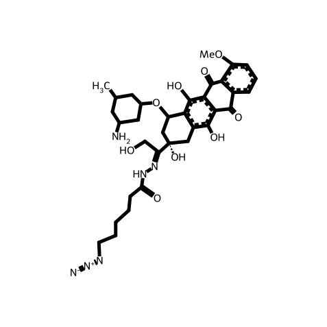 COc1cccc2c1C(=O)c1c(O)c3c(c(O)c1C2=O)C[C@@](O)(/C(CO)=N/NC(=O)CCCCCN=[N+]=[N-])CC3OC1CC(C)CC(N)C1